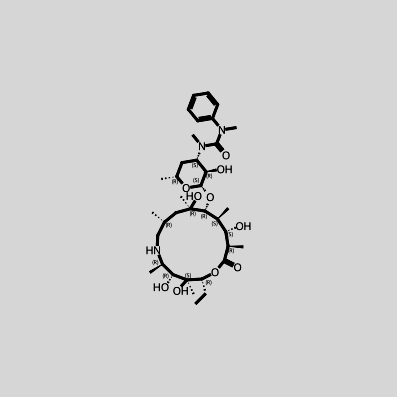 CC[C@H]1OC(=O)[C@H](C)[C@@H](O)[C@H](C)[C@@H](O[C@@H]2O[C@H](C)C[C@H](N(C)C(=O)N(C)c3ccccc3)[C@H]2O)[C@](C)(O)C[C@@H](C)CN[C@H](C)[C@@H](O)[C@]1(C)O